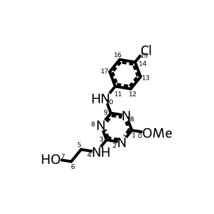 COc1nc(NCCO)nc(Nc2ccc(Cl)cc2)n1